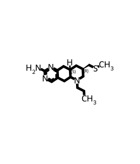 CCCN1C[C@H](CSC)C[C@H]2Cc3nc(N)ncc3CC21